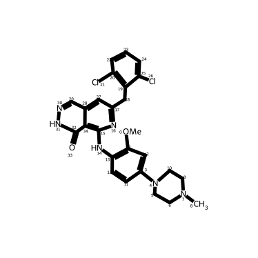 COc1cc(N2CCN(C)CC2)ccc1Nc1nc(Cc2c(Cl)cccc2Cl)cc2cn[nH]c(=O)c12